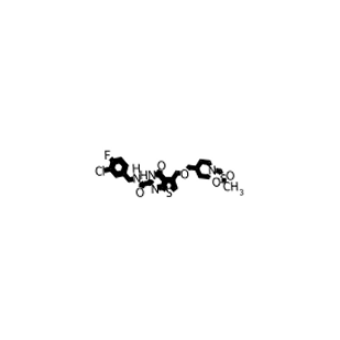 CS(=O)(=O)CN1CCC(COCc2csc3nc(C(=O)NCc4ccc(F)c(Cl)c4)[nH]c(=O)c23)CC1